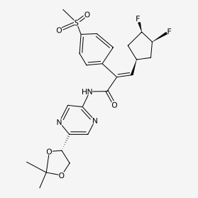 CC1(C)OC[C@@H](c2cnc(NC(=O)/C(=C/[C@H]3C[C@@H](F)[C@@H](F)C3)c3ccc(S(C)(=O)=O)cc3)cn2)O1